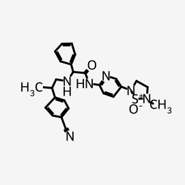 CC(CNC(C(=O)Nc1ccc(N2CCN(C)[S+]2[O-])cn1)c1ccccc1)c1ccc(C#N)cc1